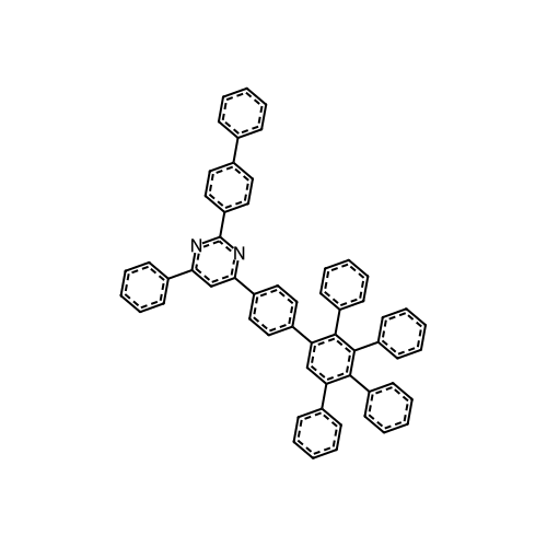 c1ccc(-c2ccc(-c3nc(-c4ccccc4)cc(-c4ccc(-c5cc(-c6ccccc6)c(-c6ccccc6)c(-c6ccccc6)c5-c5ccccc5)cc4)n3)cc2)cc1